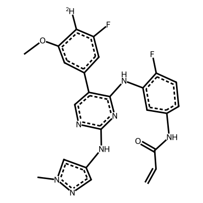 [2H]c1c(F)cc(-c2cnc(Nc3cnn(C)c3)nc2Nc2cc(NC(=O)C=C)ccc2F)cc1OC